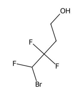 OCCC(F)(F)C(F)Br